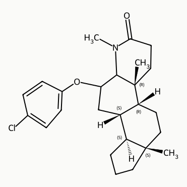 CN1C(=O)CC[C@@]2(C)C1C(Oc1ccc(Cl)cc1)C[C@@H]1[C@H]2CC[C@]2(C)CCC[C@@H]12